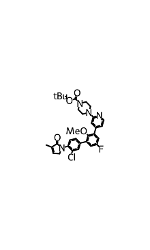 COc1c(-c2ccnc(N3CCN(C(=O)OC(C)(C)C)CC3)c2)cc(F)cc1-c1ccc(N2CC=C(C)C2=O)c(Cl)c1